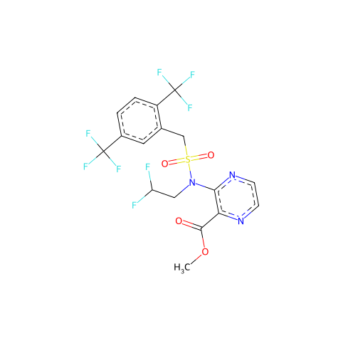 COC(=O)c1nccnc1N(CC(F)F)S(=O)(=O)Cc1cc(C(F)(F)F)ccc1C(F)(F)F